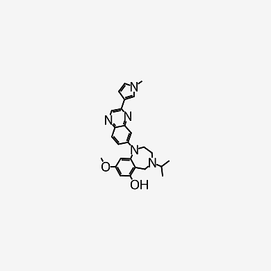 COc1cc(O)c2c(c1)N(c1ccc3ncc(-c4ccn(C)c4)nc3c1)CCN(C(C)C)C2